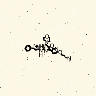 CN(C)CCCOc1ccc2c(n1)oc1c(N3CCOCC3)nc(Nc3cc(-c4ccccc4)n[nH]3)nc12